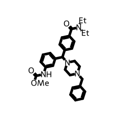 CCN(CC)C(=O)c1ccc(C(c2cccc(NC(=O)OC)c2)N2CCN(Cc3ccccc3)CC2)cc1